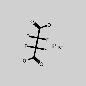 O=C([O-])C(F)(F)C(F)(F)C(=O)[O-].[K+].[K+]